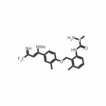 CN/C(=C\C(=N)C(F)(F)F)c1ccc(OCc2c(C)cccc2NC(=O)N(C)N)c(C)c1